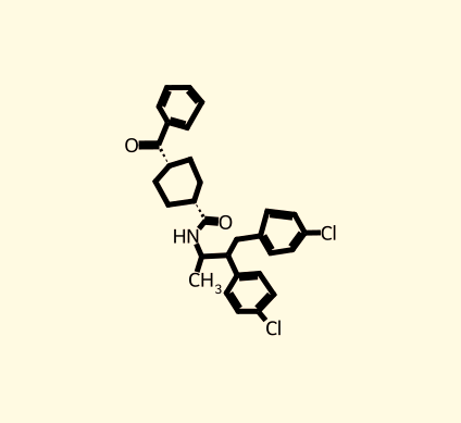 CC(NC(=O)[C@H]1CC[C@@H](C(=O)c2ccccc2)CC1)C(Cc1ccc(Cl)cc1)c1ccc(Cl)cc1